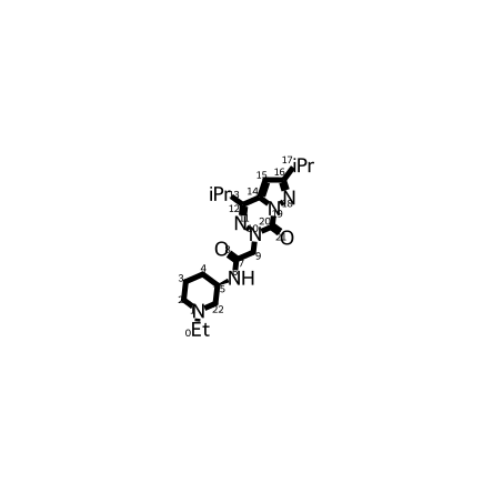 CCN1CCC[C@@H](NC(=O)Cn2nc(C(C)C)c3cc(C(C)C)nn3c2=O)C1